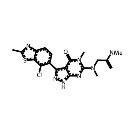 C=C(CN(C)c1nc2[nH]nc(-c3ccc4nc(C)sc4c3Cl)c2c(=O)n1C)NC